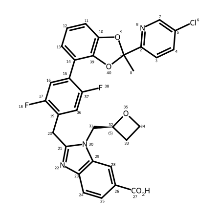 CC1(c2ccc(Cl)cn2)Oc2cccc(-c3cc(F)c(Cc4nc5ccc(C(=O)O)cc5n4C[C@@H]4CCO4)cc3F)c2O1